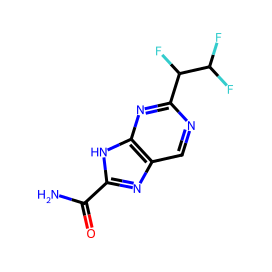 NC(=O)c1nc2cnc(C(F)C(F)F)nc2[nH]1